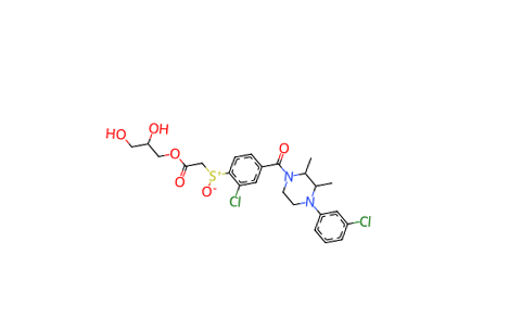 CC1C(C)N(c2cccc(Cl)c2)CCN1C(=O)c1ccc([S+]([O-])CC(=O)OCC(O)CO)c(Cl)c1